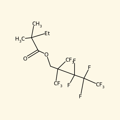 CCC(C)(C)C(=O)OCC(C(F)(F)F)(C(F)(F)F)C(F)(F)C(F)(F)C(F)(F)F